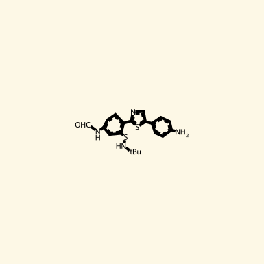 CC(C)(C)NSc1cc(NC=O)ccc1-c1ncc(-c2ccc(N)cc2)s1